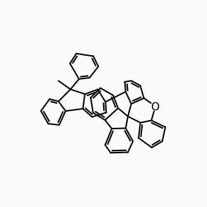 CC1(c2ccccc2)c2ccccc2-c2ccc(-c3cccc4c3C3(c5ccccc5O4)c4ccccc4-c4ccccc43)cc21